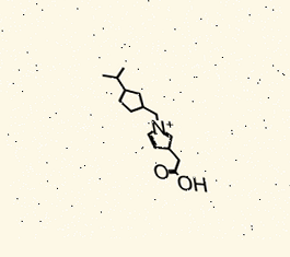 CC(C)C1CCC(C[N+]2=CC(CC(=O)O)C=C2)C1